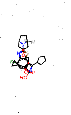 O=C(O)c1cc(F)c2nc(N3C4CC[C@H]3CC(OCc3c(C5CCCC5)noc3C3CC3)C4)sc2c1